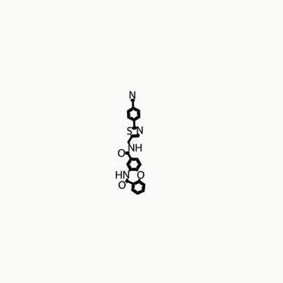 N#Cc1ccc(-c2ncc(CNC(=O)c3ccc4c(c3)NC(=O)c3ccccc3O4)s2)cc1